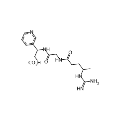 CC(CCC(=O)NCC(=O)NC(CC(=O)O)c1cccnc1)NC(=N)N